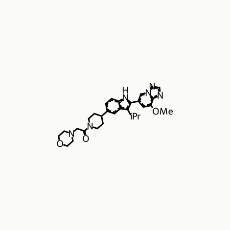 COc1cc(-c2[nH]c3ccc(C4CCN(C(=O)CN5CCOCC5)CC4)cc3c2C(C)C)cn2ncnc12